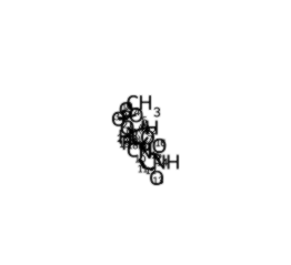 COP1(=O)OC[C@H]2O[C@@H](n3ccc(=O)[nH]c3=O)[C@](C)(F)[C@@H]2O1